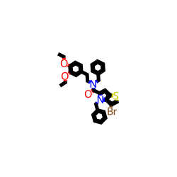 CCOc1ccc(CCN(Cc2ccccc2)C(=O)c2cc3scc(Br)c3n2Cc2ccccc2)cc1OCC